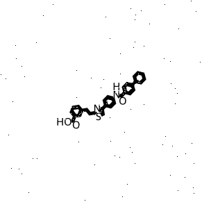 O=C(O)c1cccc(CCc2nc(-c3ccc(NC(=O)c4ccc(C5CCCCC5)cc4)cc3)cs2)c1